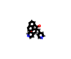 O=C1c2cccc3cccc(c23)C1(Cc1ccncc1)Cc1ccncc1